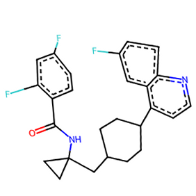 O=C(NC1(CC2CCC(c3ccnc4ccc(F)cc34)CC2)CC1)c1ccc(F)cc1F